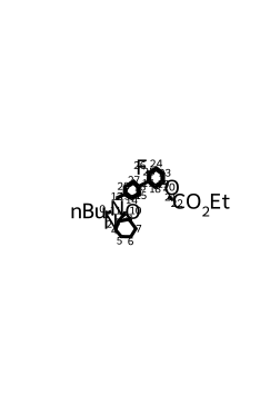 CCCCC1=NC2(CCCCC2)C(=O)N1Cc1ccc(-c2cc(OCC(=O)OCC)ccc2F)cc1